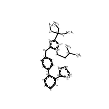 CCC(OC)(OC)c1nc(Cc2ccc(-c3ccccc3-c3nnn[nH]3)cc2)n(CCC(C)C)n1